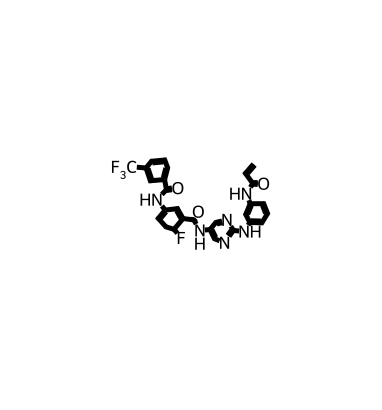 C=CC(=O)Nc1cccc(Nc2ncc(NC(=O)C3=CC(NC(=O)c4cccc(C(F)(F)F)c4)=CCC3F)cn2)c1